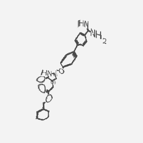 N=C(N)c1ccc(-c2ccc(OC[C@@H]3C[C@@H](CC(=O)OCC4CCCCC4)C(=O)N3)cc2)cc1